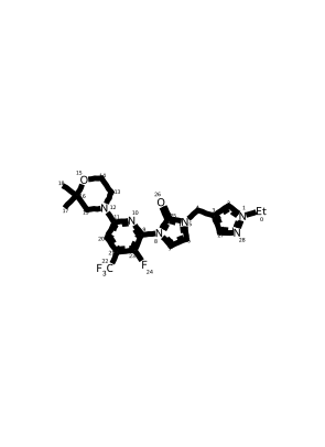 CCn1cc(Cn2ccn(-c3nc(N4CCOC(C)(C)C4)cc(C(F)(F)F)c3F)c2=O)cn1